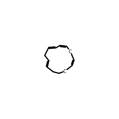 [C]1=C/CCC/C=C\C/C=C\C=C\C/1